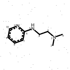 CN(C)CCNc1ccc[c]n1